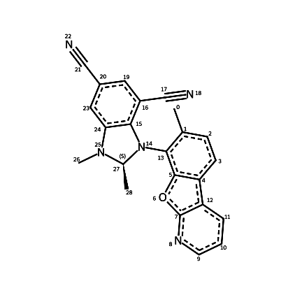 Cc1ccc2c(oc3ncccc32)c1N1c2c(C#N)cc(C#N)cc2N(C)[C@@H]1C